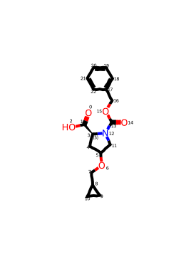 O=C(O)[C@@H]1CC(OCC2CC2)CN1C(=O)OCc1ccccc1